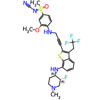 COc1cc(S(C)(=O)=NC#N)ccc1NCC#Cc1sc2c(N[C@@H]3CCN(C)C[C@H]3F)cccc2c1CC(F)(F)F